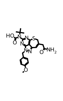 COc1ccc(Cn2nc3c4c(nc(N(C(=O)O)C(C)(C)C)nc42)SCC(CC(N)=O)=C3)cc1